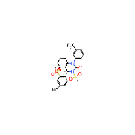 CS(=O)(=O)c1cc(C#N)ccc1[C@@H]1C2=C(CCCC2=O)N(c2cccc(C(F)(F)F)c2)C(=O)N1S(C)(=O)=O